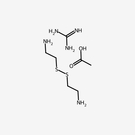 CC(=O)O.N=C(N)N.NCCSSCCN